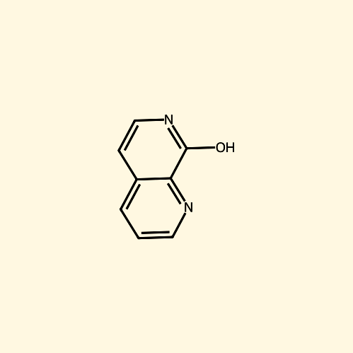 Oc1nccc2cccnc12